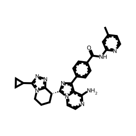 Cc1ccnc(NC(=O)c2ccc(-c3nc([C@@H]4CCCn5c(C6CC6)nnc54)n4ccnc(N)c34)cc2)c1